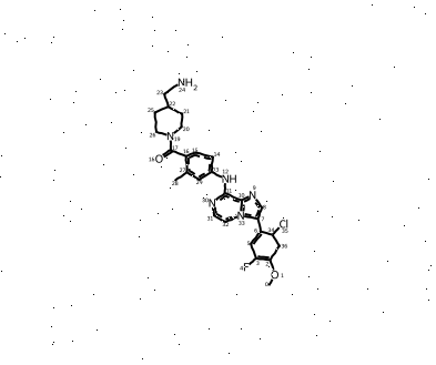 COC1=C(F)C=C(c2cnc3c(Nc4ccc(C(=O)N5CCC(CN)CC5)c(C)c4)nccn23)C(Cl)C1